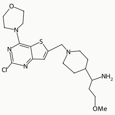 COCCC(N)C1CCN(Cc2cc3nc(Cl)nc(N4CCOCC4)c3s2)CC1